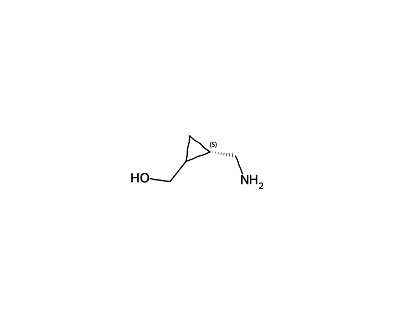 NC[C@H]1CC1CO